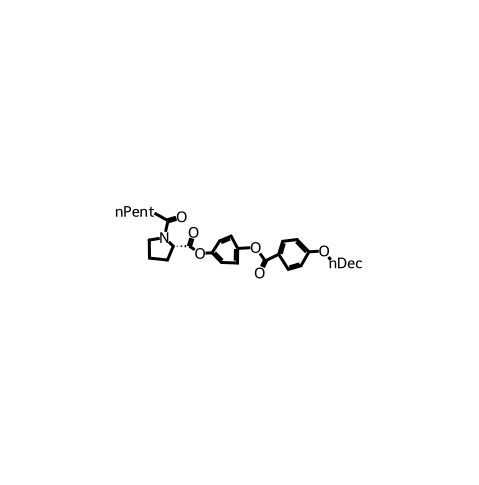 CCCCCCCCCCOc1ccc(C(=O)Oc2ccc(OC(=O)[C@@H]3CCCN3C(=O)CCCCC)cc2)cc1